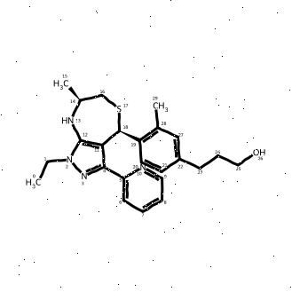 CCn1nc(-c2ccccn2)c2c1N[C@@H](C)CS[C@H]2c1ccc(CCCO)cc1C